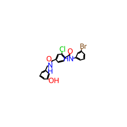 O=C(NCc1cccc(O)c1)c1ccc(C(=O)Nc2cccc(Br)c2)c(Cl)c1